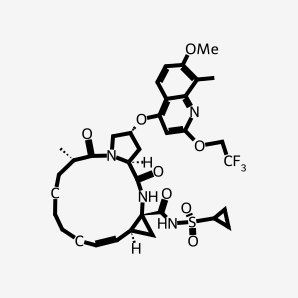 COc1ccc2c(O[C@@H]3C[C@H]4C(=O)N[C@]5(C(=O)NS(=O)(=O)C6CC6)C[C@H]5/C=C\CCCCC[C@H](C)C(=O)N4C3)cc(OCC(F)(F)F)nc2c1C